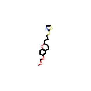 COCOc1ccc2c(c1)CCC(CCCSc1nccs1)O2